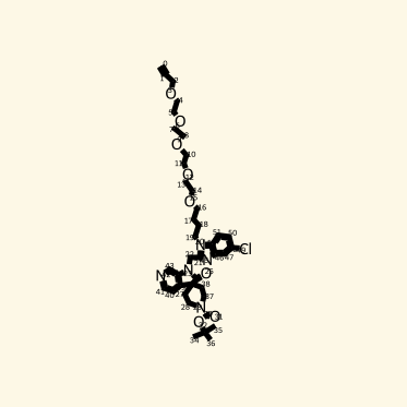 C#CCOCCOCCOCCOCCOCCCCn1c(CN2C(=O)C3(CCN(C(=O)OC(C)(C)C)CC3)c3ccncc32)nc2cc(Cl)ccc21